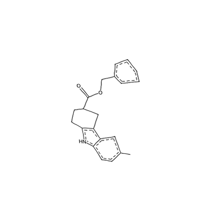 Cc1ccc2[nH]c3c(c2c1)CC(C(=O)OCc1ccccc1)CC3